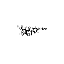 C=C(Cl)/C(C(=O)Nc1ccc(NC(C)=O)cc1)=C(Cl)\C(N)=C/C